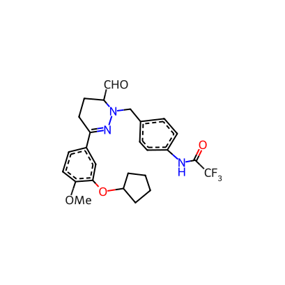 COc1ccc(C2=NN(Cc3ccc(NC(=O)C(F)(F)F)cc3)C(C=O)CC2)cc1OC1CCCC1